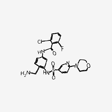 NCc1ccc(NC(=O)c2c(F)cccc2Cl)cc1NS(=O)(=O)c1ccc(N2CCOCC2)nc1